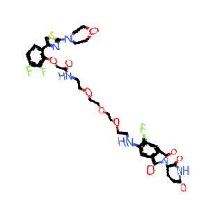 O=C(COc1c(-c2csc(N3CCOCC3)n2)ccc(F)c1F)NCCOCCOCCOCCNc1cc2c(cc1F)C(=O)N(C1CCC(=O)NC1=O)C2=O